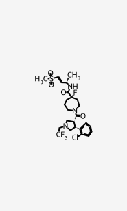 C[C@H](/C=C/S(C)(=O)=O)NC(=O)[C@@]1(F)CCCN(C(=O)[C@H]2CN(CC(F)(F)F)C[C@H]2c2ccccc2Cl)CC1